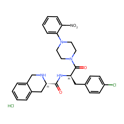 Cl.O=C(N[C@H](Cc1ccc(Cl)cc1)C(=O)N1CCN(c2ccccc2[N+](=O)[O-])CC1)[C@@H]1Cc2ccccc2CN1